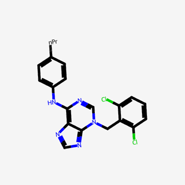 CCCc1ccc(Nc2ncn(Cc3c(Cl)cccc3Cl)c3ncnc2-3)cc1